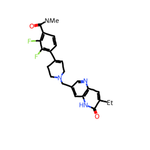 CCc1cc2ncc(CN3CC=C(c4ccc(C(=O)NC)c(F)c4F)CC3)cc2[nH]c1=O